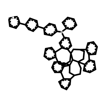 c1ccc(-c2ccc(-c3ccc(N(c4ccccc4)c4ccc5c(c4)-c4ccccc4C4CCC56CC5CCC7(CCC8CC(C4)(c4ccccc4-c4ccccc48)C76)c4ccccc4-c4ccccc45)cc3)cc2)cc1